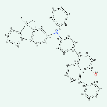 CC1(C)c2ccccc2-c2ccc(N(c3ccccc3)c3ccc(-c4ccc5c6c(cccc46)-c4ccccc4O5)cc3)cc21